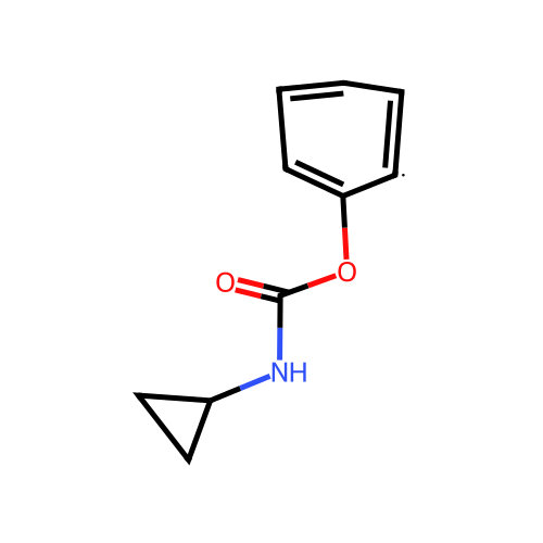 O=C(NC1CC1)Oc1[c]cccc1